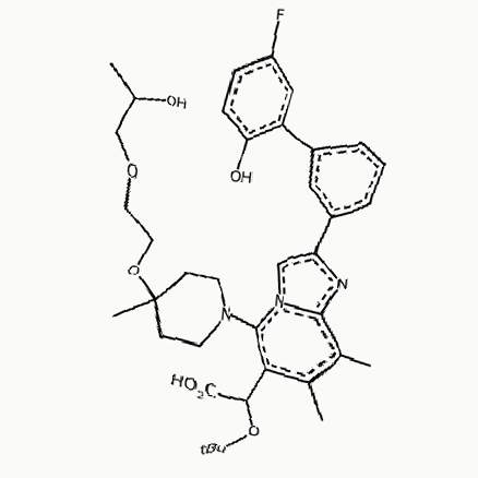 Cc1c(C(OC(C)(C)C)C(=O)O)c(N2CCC(C)(OCCOCC(C)O)CC2)n2cc(-c3cccc(-c4cc(F)ccc4O)c3)nc2c1C